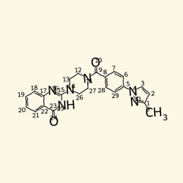 Cc1ccn(-c2ccc(C(=O)N3CCN(c4nc5ccccc5c(=O)[nH]4)CC3)cc2)n1